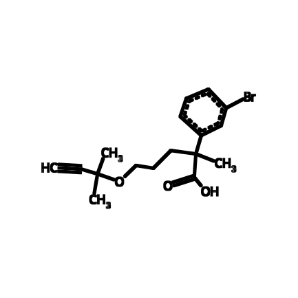 C#CC(C)(C)OCCCC(C)(C(=O)O)c1cccc(Br)c1